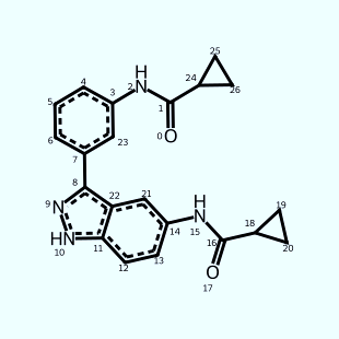 O=C(Nc1cccc(-c2n[nH]c3ccc(NC(=O)C4CC4)cc23)c1)C1CC1